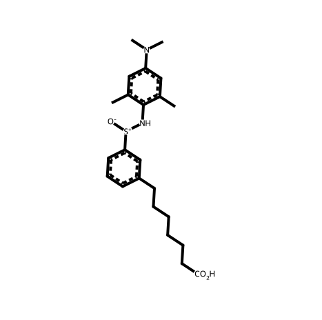 Cc1cc(N(C)C)cc(C)c1N[S+]([O-])c1cccc(CCCCCCC(=O)O)c1